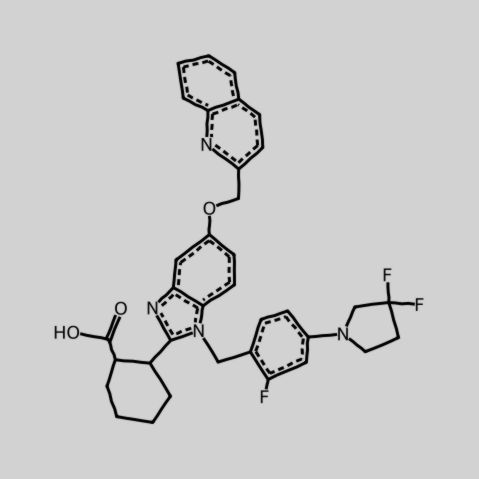 O=C(O)C1CCCCC1c1nc2cc(OCc3ccc4ccccc4n3)ccc2n1Cc1ccc(N2CCC(F)(F)C2)cc1F